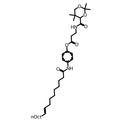 CCCCCCCCC=CCCCCCCCC(=O)Nc1ccc(OC(=O)CCNC(=O)C2OC(C)(C)OCC2(C)C)cc1